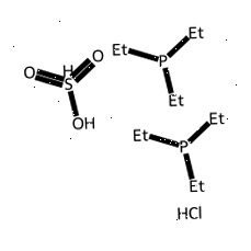 CCP(CC)CC.CCP(CC)CC.Cl.O=[SH](=O)O